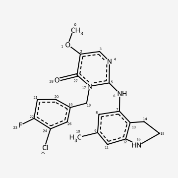 COc1cnc(Nc2cc(C)cc3c2CCN3)n(Cc2ccc(F)c(Cl)c2)c1=O